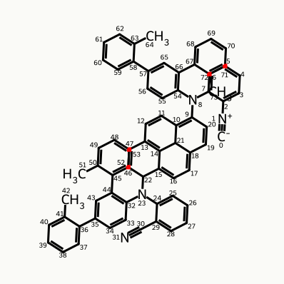 [C-]#[N+]c1ccccc1N(C1=C2C=CC3=C4C(=CC=C(C=C1)C24)C(N(c1ccccc1C#N)c1ccc(-c2ccccc2C)cc1-c1ccccc1C)C=C3)c1ccc(-c2ccccc2C)cc1-c1ccccc1C